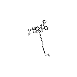 CCCCCCCCCCCCCCOc1cc(C(C)(C)C)ccc1NC(=O)c1ccccc1C[n+]1ccsc1.[Br-]